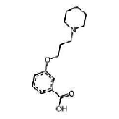 O=C(O)c1cccc(OCCCN2CCCCC2)c1